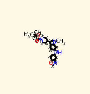 Cn1cc(C2CCN(C(=O)OC(C)(C)C)CC2)c2ccc(Nc3ccc4ocnc4c3)cc21